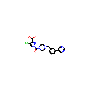 O=C(N1CCN(Cc2cccc(-c3cncnc3)c2)CC1)n1cc(Cl)c(C(O)O)n1